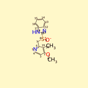 COc1ccnc(C[S@+]([O-])c2nc3ccccc3[nH]2)c1C